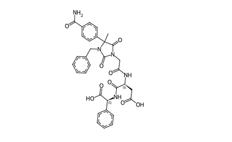 CC1(c2ccc(C(N)=O)cc2)C(=O)N(CC(=O)N[C@@H](CC(=O)O)C(=O)N[C@H](C(=O)O)c2ccccc2)C(=O)N1Cc1ccccc1